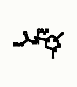 COC(=O)N[C@H](C(=O)O)[C@@H]1C[C@@H](C)O[C@@H](C)C1